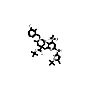 Cc1cc(Nc2cc(S(C)(=O)=O)c(F)c(CC3(C(=O)OC(C)(C)C)CCN(Cc4cccc(Cl)c4F)C(C)C3)n2)nn1C(C)(C)C